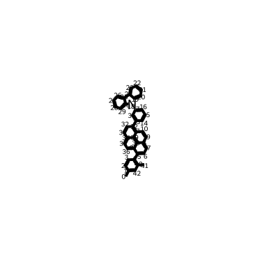 Cc1ccc(-c2ccc3ccc4c(-c5cccc(-n6c7ccccc7c7ccccc76)c5)ccc5ccc2c3c54)c(C)c1